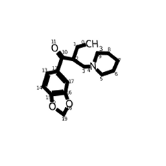 CCC(CN1CCCCC1)C(=O)c1ccc2c(c1)OCO2